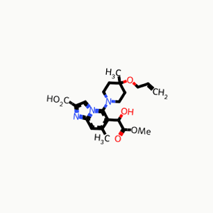 C=CCOC1(C)CCN(c2c(C(O)C(=O)OC)c(C)cc3nc(C(=O)O)cn23)CC1